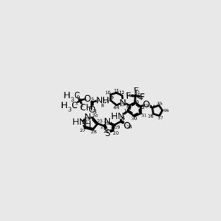 CC(C)(C)OC(=O)NC[C@@H]1CCCN(c2c(NC(=O)c3csc(C4=CNNC=C4)n3)ccc(OC3CCCC3)c2C(F)(F)F)C1